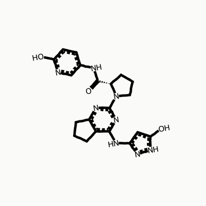 O=C(Nc1ccc(O)nc1)[C@@H]1CCCN1c1nc2c(c(Nc3cc(O)[nH]n3)n1)CCC2